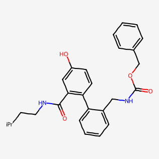 CC(C)CCNC(=O)c1cc(O)ccc1-c1ccccc1CNC(=O)OCc1ccccc1